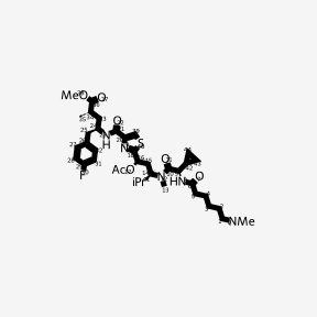 CNCCCCCC(=O)N[C@H](C(=O)N(C)[C@H](C[C@@H](OC(C)=O)c1nc(C(=O)N[C@@H](Cc2ccc(F)cc2)C[C@H](C)C(=O)OC)cs1)C(C)C)C1CC1